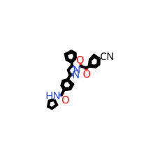 N#Cc1ccc(C(=O)C2Oc3ccccc3C3CC(c4ccc(C(=O)NC5CCCC5)cc4)=NN23)cc1